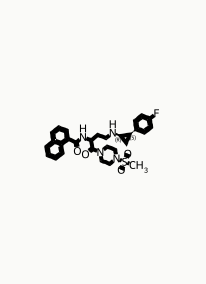 CS(=O)(=O)N1CCN(C(=O)C(CCN[C@@H]2C[C@H]2c2ccc(F)cc2)NC(=O)c2cccc3ccccc23)CC1